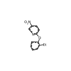 CCc1ccccc1Oc1ccc([N+](=O)[O-])cn1